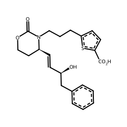 O=C(O)c1ccc(CCCN2C(=O)OCC[C@@H]2C=C[C@@H](O)Cc2ccccc2)s1